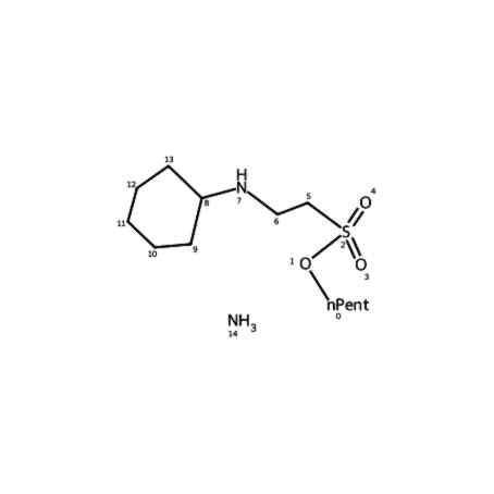 CCCCCOS(=O)(=O)CCNC1CCCCC1.N